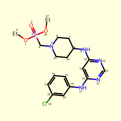 CCOP(=O)(CN1CCC(Nc2cc(Nc3cccc(Cl)c3)ncn2)CC1)OCC